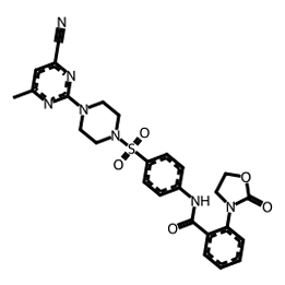 Cc1cc(C#N)nc(N2CCN(S(=O)(=O)c3ccc(NC(=O)c4ccccc4N4CCOC4=O)cc3)CC2)n1